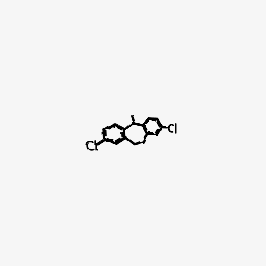 CC1c2ccc(Cl)cc2CCc2cc(Cl)ccc21